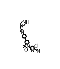 CC1(C)C(=O)N(c2cnc(C#N)c(Cl)c2)c2ccc(-c3ccc(N4CC(CN5CCNCC5)C4)cc3)cc21